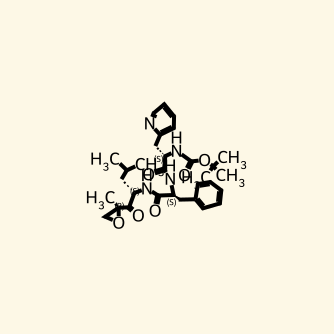 CC(C)C[C@H](NC(=O)[C@H](Cc1ccccc1)NC(=O)[C@H](Cc1ccccn1)NC(=O)OC(C)(C)C)C(=O)[C@@]1(C)CO1